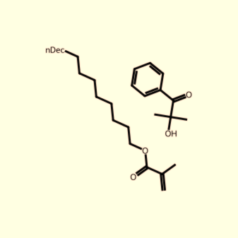 C=C(C)C(=O)OCCCCCCCCCCCCCCCCCC.CC(C)(O)C(=O)c1ccccc1